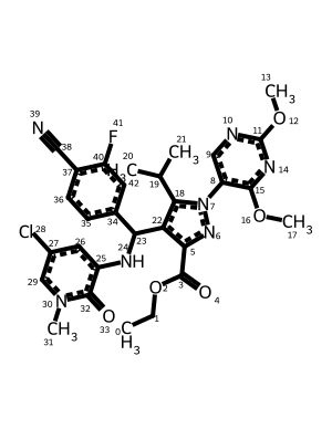 CCOC(=O)c1nn(-c2cnc(OC)nc2OC)c(C(C)C)c1C(Nc1cc(Cl)cn(C)c1=O)c1ccc(C#N)c(F)c1